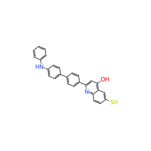 Oc1cc(-c2ccc(-c3ccc(Nc4ccccc4)cc3)cc2)nc2ccc(S)cc12